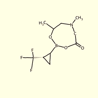 CC1CN(C)CC(=O)OB(C2C[C@@H]2C(F)(F)F)O1